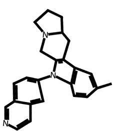 Cc1ccc2c(c1)c1c(n2-c2ccc3cnccc3c2)CN2CCCC2C1